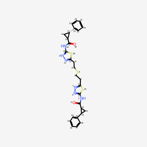 O=C(Nc1nnc(CCSCCc2nnc(NC(=O)C3C[C@@H]3c3ccccc3)s2)s1)C1CC1c1ccccc1